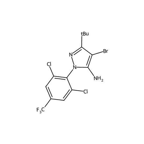 CC(C)(C)c1nn(-c2c(Cl)cc(C(F)(F)F)cc2Cl)c(N)c1Br